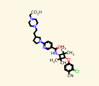 CC1(C)[C@H](NC(=O)c2ccc(N3CCC(CCN4CCN(CC(=O)O)CC4)C3)nc2)C(C)(C)[C@H]1Oc1ccc(C#N)c(Cl)c1